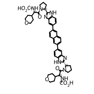 O=C(O)N[C@H](C(=O)N1CCC[C@H]1c1nc2cc(-c3ccc4cc(-c5ccc6[nH]c([C@@H]7CCCN7C(=O)[C@@H](NC(=O)O)C7CCOCC7)nc6c5)ccc4c3)ccc2[nH]1)C1CCOCC1